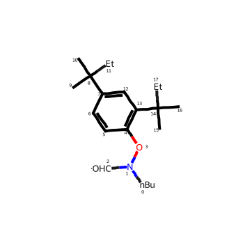 CCCCN([C]=O)Oc1ccc(C(C)(C)CC)cc1C(C)(C)CC